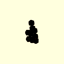 O=P1(c2ccccc2)c2ccccc2-c2c(c3ccccc3n2-c2cccc3cc(-c4ccccc4)ccc23)C2CCC=CC21